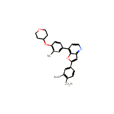 COc1cc(-c2cc3nccc(-c4ccc(OC5CCOCC5)c(C#N)c4)c3o2)ccc1C(=O)O